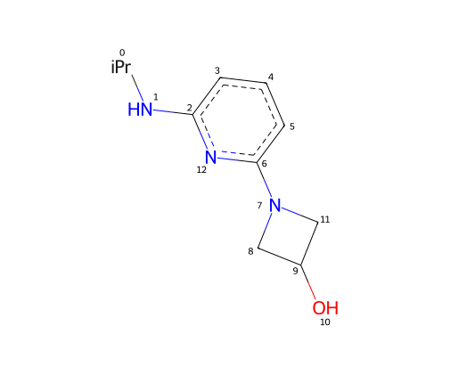 CC(C)Nc1cccc(N2CC(O)C2)n1